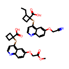 CCC1CCC1(Sc1ccnc2ccc(OCC#N)cc12)C(=O)O.COC(=O)COc1ccc2nccc(SC3(C(=O)O)CCC3)c2c1